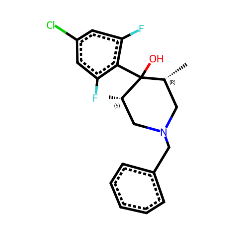 C[C@@H]1CN(Cc2ccccc2)C[C@H](C)C1(O)c1c(F)cc(Cl)cc1F